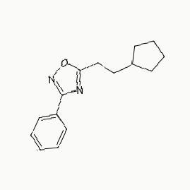 [c]1ccc(-c2noc(CCC3CCCC3)n2)cc1